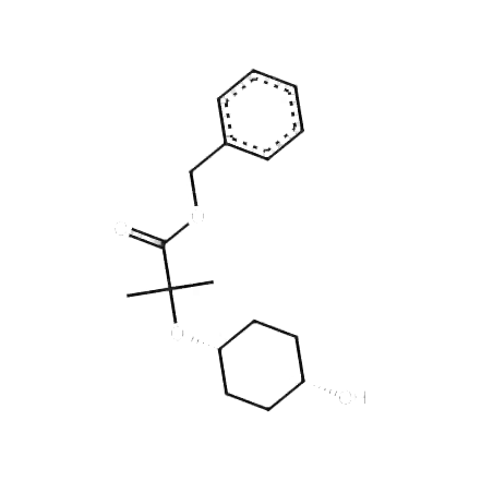 CC(C)(O[C@H]1CC[C@@H](O)CC1)C(=O)OCc1ccccc1